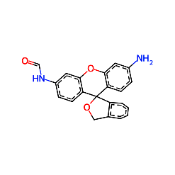 Nc1ccc2c(c1)Oc1cc(NC=O)ccc1C21OCc2ccccc21